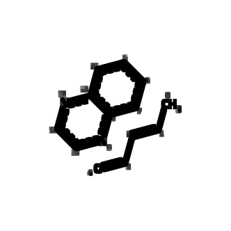 CC=CC=O.c1ccc2nccnc2c1